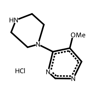 COc1cncnc1N1CCNCC1.Cl